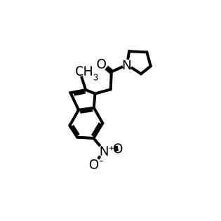 CC1=Cc2ccc([N+](=O)[O-])cc2C1CC(=O)N1CCCC1